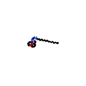 CCCCCCCCCCCCCCCCCN1C=CN(c2ccccc2)C1Cc1ccccc1